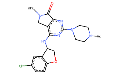 CCCN1Cc2c(NC3COc4ccc(Cl)cc43)nc(N3CCN(C(C)=O)CC3)nc2C1=O